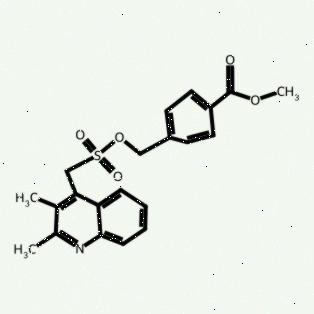 COC(=O)c1ccc(COS(=O)(=O)Cc2c(C)c(C)nc3ccccc23)cc1